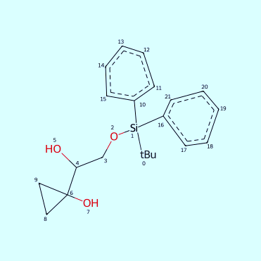 CC(C)(C)[Si](OCC(O)C1(O)CC1)(c1ccccc1)c1ccccc1